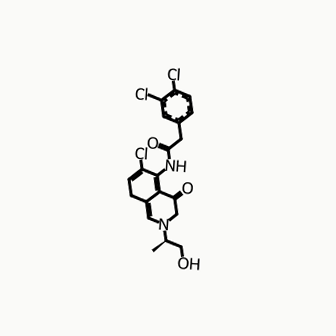 C[C@H](CO)N1C=C2CC=C(Cl)C(NC(=O)Cc3ccc(Cl)c(Cl)c3)=C2C(=O)C1